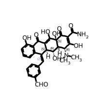 CN(C)[C@H]1C(O)=C(C(N)=O)C(=O)[C@@]2(O)C(O)=C3C(=O)c4c(O)cccc4/C(=C\c4cccc(C=O)c4)[C@@H]3[C@@H](O)[C@H]12